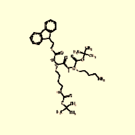 CC(C)(C)OC(=O)NCCCC[C@H](NC(=O)OCC1c2ccccc2-c2ccccc21)C(=O)N[C@@H](CCCCN)C(=O)OC(C)(C)C